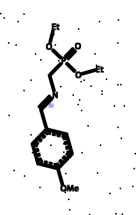 CCOP(=O)(C/N=C/c1ccc(OC)cc1)OCC